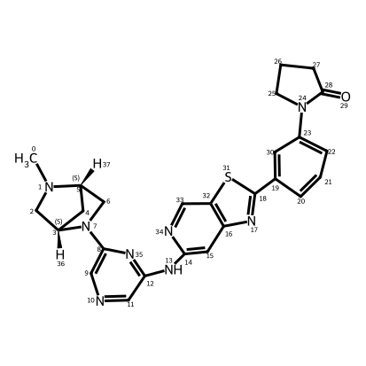 CN1C[C@@H]2C[C@H]1CN2c1cncc(Nc2cc3nc(-c4cccc(N5CCCC5=O)c4)sc3cn2)n1